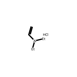 C=[CH][Al]([CH2]C)[CH2]C.Cl